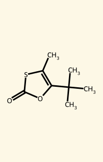 Cc1sc(=O)oc1C(C)(C)C